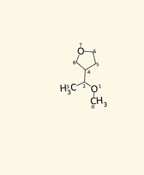 COC(C)C1CCOC1